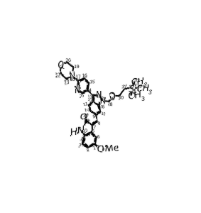 COc1ccc2c(c1)C(=Cc1ccc3c(-c4ccc(N5CCOCC5)nc4)nn(COCC[Si](C)(C)C)c3c1)C(=O)N2